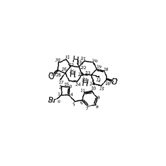 BrC1CC=C1Cc1ccccc1.C[C@]12CCC(=O)C=C1CC[C@@H]1[C@@H]2CC[C@]2(C)C(=O)CC[C@@H]12